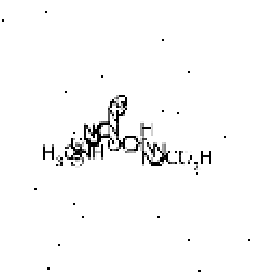 CS(=O)(=O)Nc1cnc2cc(N3CCOCC3)nc(OC3CCC(Nc4nccc(C(=O)O)n4)CC3)c2c1